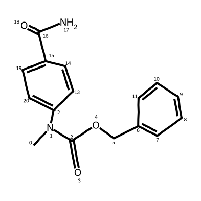 CN(C(=O)OCc1ccccc1)c1ccc(C(N)=O)cc1